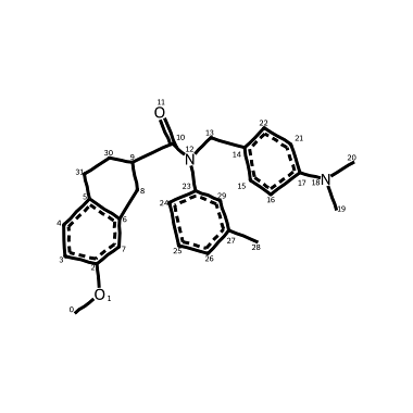 COc1ccc2c(c1)CC(C(=O)N(Cc1ccc(N(C)C)cc1)c1cccc(C)c1)CC2